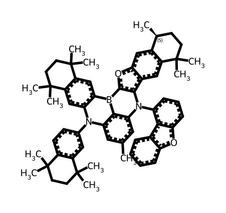 Cc1cc2c3c(c1)N(c1cccc4oc5ccccc5c14)c1c(oc4cc5c(cc14)C(C)(C)CC[C@@H]5C)B3c1cc3c(cc1N2c1ccc2c(c1)C(C)(C)CCC2(C)C)C(C)(C)CCC3(C)C